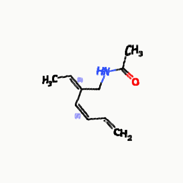 C=C/C=C\C(=C/C)CNC(C)=O